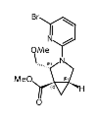 COC[C@@H]1N(c2cccc(Br)n2)C[C@@H]2C[C@@]21C(=O)OC